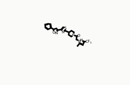 Cc1cc(C(F)(F)F)nn1CC(=O)N1CCC(c2nc(C3=NOC(c4c[c]ccc4)C3)cs2)CC1